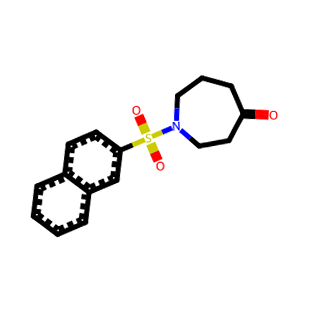 O=C1CCCN(S(=O)(=O)c2ccc3ccccc3c2)CC1